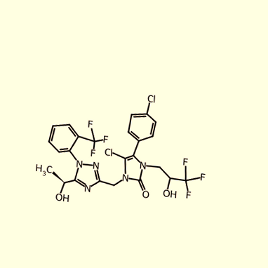 C[C@H](O)c1nc(Cn2c(Cl)c(-c3ccc(Cl)cc3)n(CC(O)C(F)(F)F)c2=O)nn1-c1ccccc1C(F)(F)F